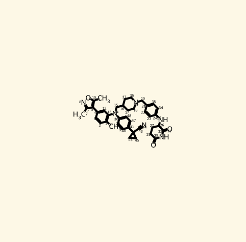 Cc1ccc(-c2c(C)noc2C)cc1N(CC1CCN(Cc2ccc(NC3CCC(=O)NC3=O)cc2)CC1)c1ccc(C2(C#N)CC2)cc1